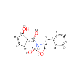 O=C1OC[C@@H](Cc2ccccc2)N1C(=O)[C@H]1CC=C[C@H]1O